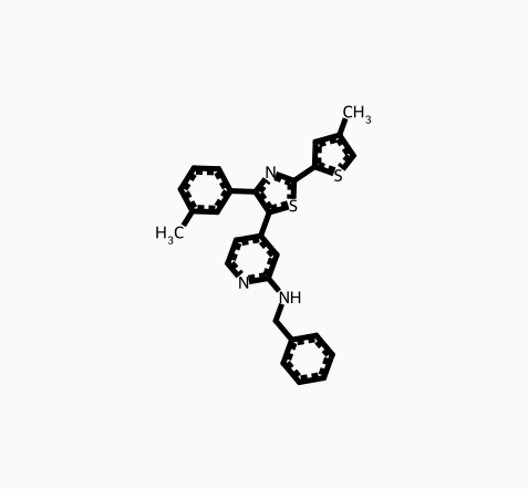 Cc1cccc(-c2nc(-c3cc(C)cs3)sc2-c2ccnc(NCc3ccccc3)c2)c1